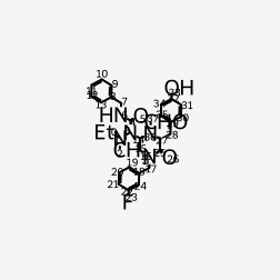 CCN(C)N(C(=O)NCc1ccccc1)C1CN(Cc2cccc(F)c2)C(=O)[C@H](Cc2ccc(O)cc2)N1C=O